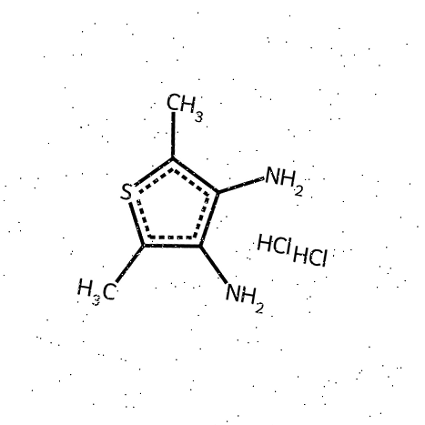 Cc1sc(C)c(N)c1N.Cl.Cl